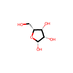 OC[C@H]1O[C@@H](O)[C@@H](O)[C@H]1O